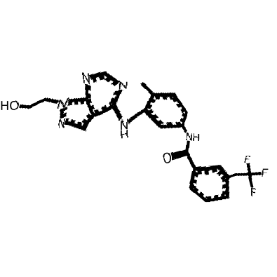 Cc1ccc(NC(=O)c2cccc(C(F)(F)F)c2)cc1Nc1ncnc2c1cnn2CCO